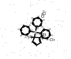 CCC1=CC=C[C]1([Ti+3])[Si](c1ccccc1)(c1ccccc1)c1ccccc1.[Cl-].[Cl-].[Cl-]